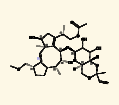 C=CC1(C)OC[C@H]2O[C@@H](O[C@@H]3C4=C([C@H](C)COC(C)=O)C[C@H](O)[C@]4(C)/C=C4\C(CC[C@@H]4COC)[C@@H](C)[C@H]3O)C(O)C(O)[C@@H]2O1